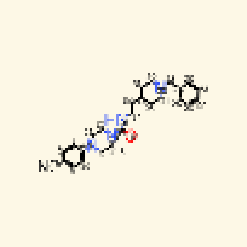 C[C@@H]1CN(c2ccc(C#N)cc2)CCN1C(=O)NCCC1CCN(Cc2ccccc2)CC1